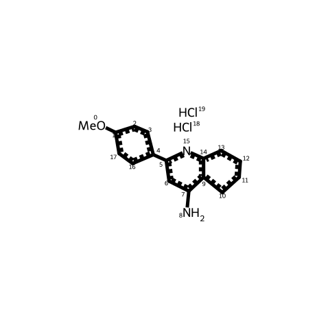 COc1ccc(-c2cc(N)c3ccccc3n2)cc1.Cl.Cl